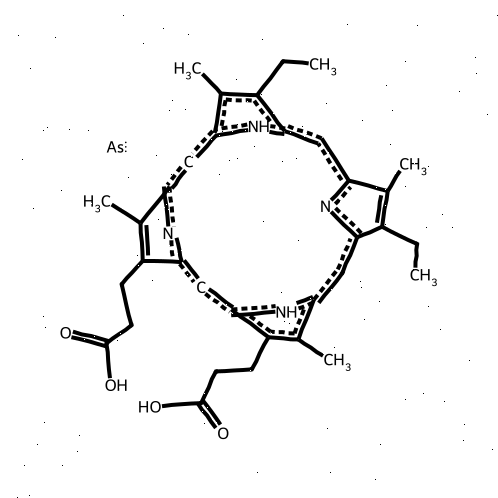 CCC1=C(C)c2cc3[nH]c(cc4nc(cc5[nH]c(cc1n2)c(C)c5CCC(=O)O)C(CCC(=O)O)=C4C)c(C)c3CC.[As]